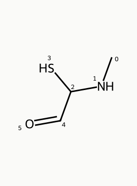 CNC(S)C=O